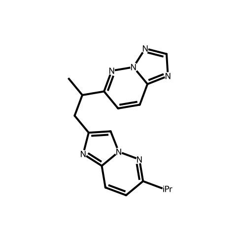 CC(C)c1ccc2nc(CC(C)c3ccc4ncnn4n3)cn2n1